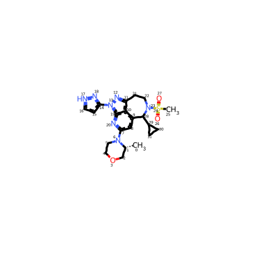 C[C@@H]1COCCN1c1cc2c3c(nn(-c4cc[nH]n4)c3n1)CCN(S(C)(=O)=O)C2C1CC1